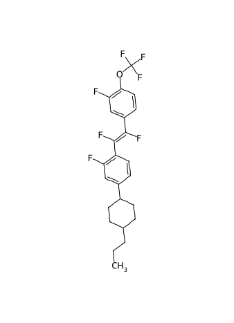 CCCC1CCC(c2ccc(/C(F)=C(\F)c3ccc(OC(F)(F)F)c(F)c3)c(F)c2)CC1